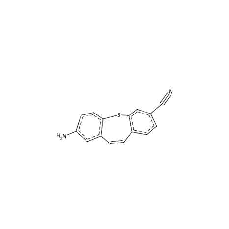 N#Cc1ccc2c(c1)Sc1ccc(N)cc1C=C2